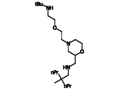 CCCC(C)(CCC)CNCC1CN(CCOCCNC(C)(C)C)CCO1